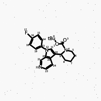 CC(C)(C)OC(=O)N1CCCCC1c1cn(-c2ccc(F)cc2)c2cnccc12